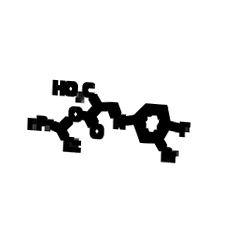 CCCC(CC)OC(=O)C(/C=N/c1ccc(F)c(Br)c1)C(=O)O